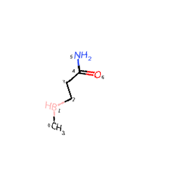 CBCCC(N)=O